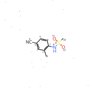 Cc1cc(C#N)ccc1NS(C)(=O)=O